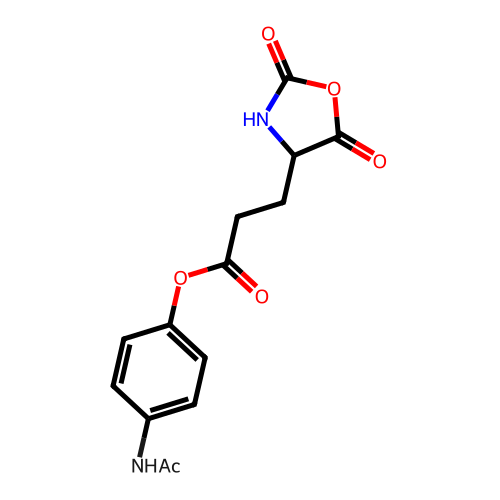 CC(=O)Nc1ccc(OC(=O)CCC2NC(=O)OC2=O)cc1